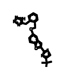 CC(C)(C)c1csc(-c2cc3cc(OCc4ccccc4Cc4nnn[nH]4)ccc3o2)n1